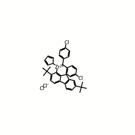 CC(C)(C)c1ccc2c(c1)Cc1c-2ccc(C(C)(C)C)[c]1[Zr+2](=[C](c1ccc(Cl)cc1)c1ccc(Cl)cc1)[CH]1C=CC=C1.[Cl-].[Cl-]